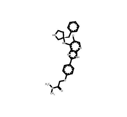 CN(C)C(=O)COc1ccc(-c2nc3c(N[C@@]4(Cc5ccccc5)CCNC4)c(Cl)cnc3[nH]2)cc1